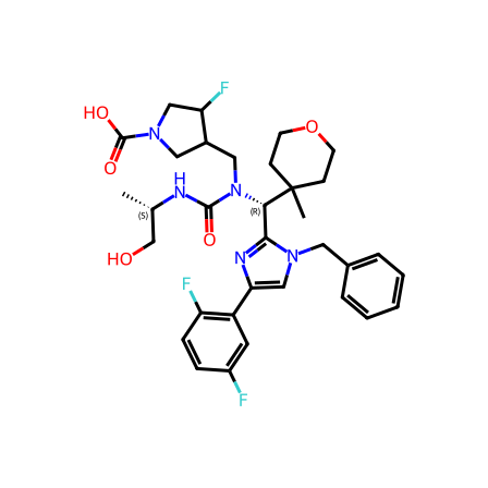 C[C@@H](CO)NC(=O)N(CC1CN(C(=O)O)CC1F)[C@@H](c1nc(-c2cc(F)ccc2F)cn1Cc1ccccc1)C1(C)CCOCC1